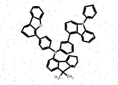 CC1(C)C2=CCCC=C2c2c(N(c3ccc(-c4cccc5c4oc4ccccc45)cc3)c3cccc(-c4cccc5c4c4ccccc4n5-c4ccccc4)c3)cccc21